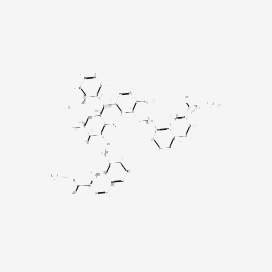 COC(=O)c1ccc2cccc(NCc3c4oc5c(CNc6cccc7ccc(C(=O)OC)nc67)c(O)ccc5c(-c5ccccc5C=O)c-4cc(Cl)c3=O)c2n1